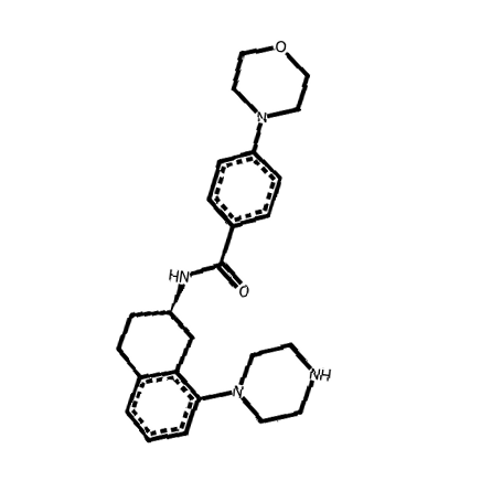 O=C(N[C@@H]1CCc2cccc(N3CCNCC3)c2C1)c1ccc(N2CCOCC2)cc1